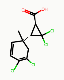 CC1([C@@H]2[C@@H](C(=O)O)C2(Cl)Cl)C=CC(Cl)=C(Cl)C1